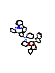 c1ccc(-c2ccc3ccccc3c2-c2cccc(N(c3ccc(-c4ccccc4-n4c5ccccc5c5ccccc54)cc3)c3cccc(-c4cccc5ccccc45)c3)c2)cc1